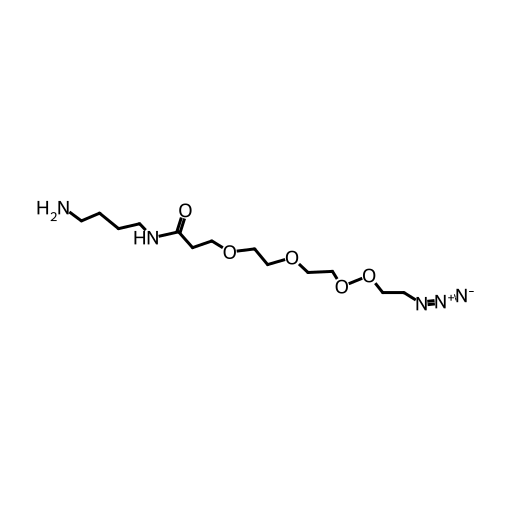 [N-]=[N+]=NCCOOCCOCCOCCC(=O)NCCCCN